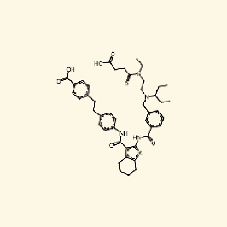 CCC(CC)N(CCN(CC)C(=O)CCC(=O)O)Cc1cccc(C(=O)Nc2sc3c(c2C(=O)Nc2ccc(CCc4ccc(C(=O)O)cc4)cc2)CCCC3)c1